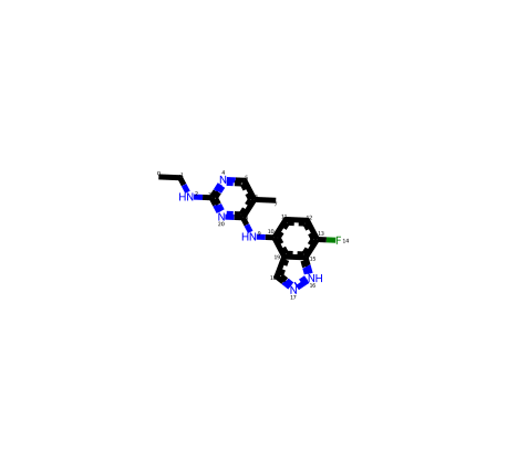 CCNc1ncc(C)c(Nc2ccc(F)c3[nH]ncc23)n1